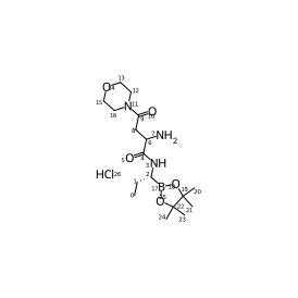 CC[C@H](NC(=O)C(N)CC(=O)N1CCOCC1)B1OC(C)(C)C(C)(C)O1.Cl